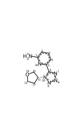 Nc1cccc(-c2nnnn2[C@@H]2CCOC2)n1